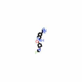 Cn1cc(-c2ccc3cnc(NC(=O)[C@H]4CC[C@H](CN5CC(F)C5)CC4)cc3c2)nn1